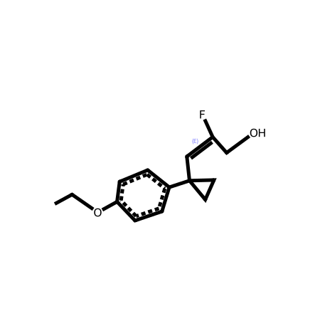 CCOc1ccc(C2(/C=C(/F)CO)CC2)cc1